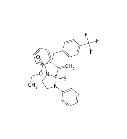 C=C(C(Cc1ccc(C(F)(F)F)cc1)C(=O)OCC)P1(=S)N(c2ccccc2)CCN1c1ccccc1